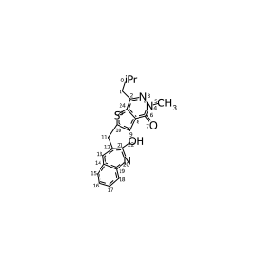 CC(C)Cc1nn(C)c(=O)c2cc(Cc3cc4ccccc4nc3O)sc12